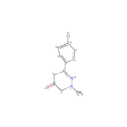 CN1CC(=O)CC(c2ccc(Cl)cc2)=N1